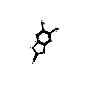 O=C1Cc2cc(O)c(O)cc2O1